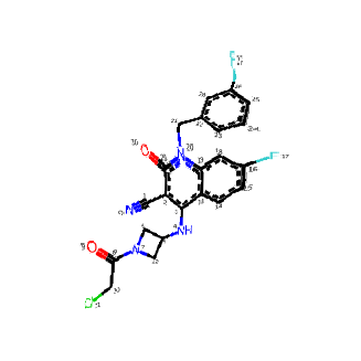 N#Cc1c(NC2CN(C(=O)CCl)C2)c2ccc(F)cc2n(Cc2cccc(F)c2)c1=O